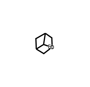 CCC1C2COCC1C2